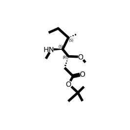 CC[C@H](C)[C@H](NC)[C@@H](CC(=O)OC(C)(C)C)OC